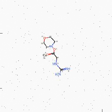 N=C(N)NCC(=O)ON1CCOCC1.[Cu]